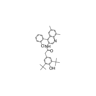 Cc1cc(C)c2ncc(NC(=O)Cc3cc(C(C)(C)C)c(O)c(C(C)(C)C)c3)c(-c3ccccc3Cl)c2c1